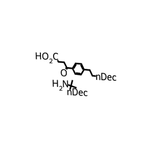 CCCCCCCCCCC(C)(C)N.CCCCCCCCCCCCc1ccc(C(=O)CCC(=O)O)cc1